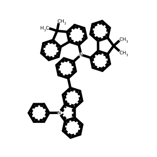 CC1(C)c2ccccc2-c2c(N(c3cccc(-c4ccc5c6ccccc6n(-c6ccccc6)c5c4)c3)c3cccc4c3-c3ccccc3C4(C)C)cccc21